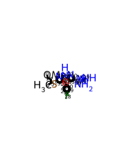 COCCC(C)Sc1cnc(Nc2ccc(/C(N)=N/N=N)cn2)c(Oc2ccc(F)cc2)c1